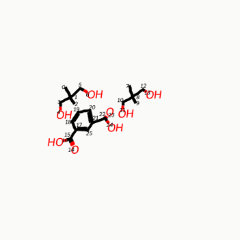 CC(C)(CO)CO.CC(C)(CO)CO.O=C(O)c1cccc(C(=O)O)c1